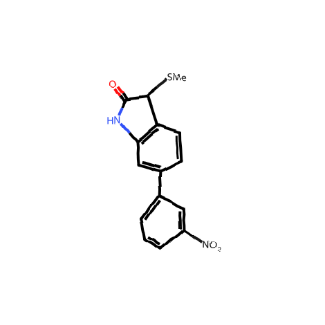 CSC1C(=O)Nc2cc(-c3cccc([N+](=O)[O-])c3)ccc21